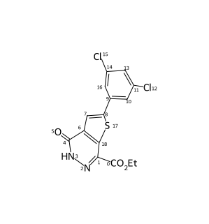 CCOC(=O)c1n[nH]c(=O)c2cc(-c3cc(Cl)cc(Cl)c3)sc12